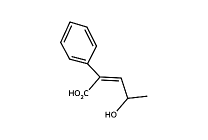 CC(O)C=C(C(=O)O)c1ccccc1